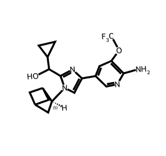 Nc1ncc(-c2cn([C@H]3CC4CC3C4)c(C(O)C3CC3)n2)cc1OC(F)(F)F